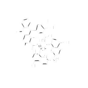 Cc1ccc2c(C)ccc(C(C)NC(C)c3c4oc5c(C(C)NC(C)c6ccc(C)c7ccc(C)nc67)c(O)c(C)cc5c(-c5ccccc5C=O)c-4ccc3=O)c2n1